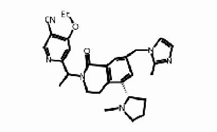 CCOc1cc(C(C)N2CCc3c(cc(Cn4ccnc4C)cc3[C@@H]3CCCN3C)C2=O)ncc1C#N